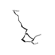 CCCCCCCCCCCCCCCCN1C=CN(CCCCCCCC)C1CCCCCCC